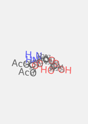 CC(=O)OC[C@@H]1CC(OC(C)=O)CC(NC(=O)C(N)c2ccc(O[C@H]3CC(O)C[C@@H](CO)O3)cc2)O1